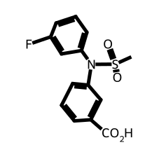 CS(=O)(=O)N(c1cccc(F)c1)c1cccc(C(=O)O)c1